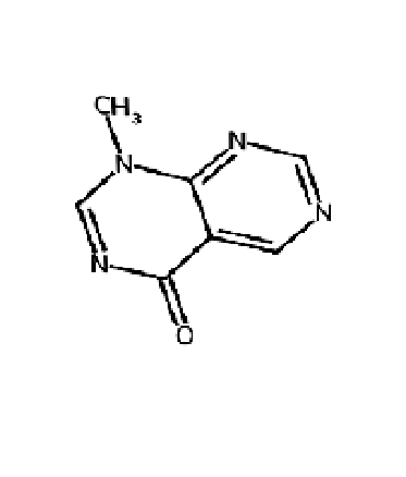 Cn1cnc(=O)c2cncnc21